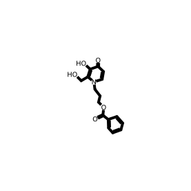 O=C(OCCCn1ccc(=O)c(O)c1CO)c1ccccc1